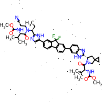 CC[C@@H](c1ncc(-c2ccc3c(c2)C(F)(F)c2cc(-c4ccc5nc([C@@H]6CC7(CC7)CN6C(=O)[C@@H](NC(=O)OC)C(C)C)[nH]c5c4)ccc2-3)[nH]1)N(CCC#N)C(=O)[C@@H](NC(=O)OC)C(C)C